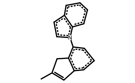 CC1=Cc2cccc(-n3ccc4ccccc43)c2C1